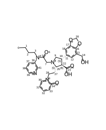 CCCCN(C(=O)CN1C[C@H](c2cc(CO)c3c(c2)OCO3)[C@@H](C(=O)O)[C@@H]1CCn1ccccc1=O)c1cccnc1